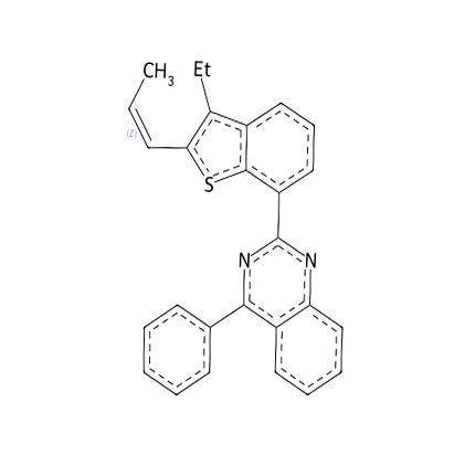 C/C=C\c1sc2c(-c3nc(-c4ccccc4)c4ccccc4n3)cccc2c1CC